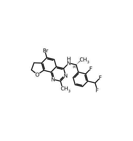 Cc1nc(N[C@H](C)c2cccc(C(F)F)c2F)c2cc(Br)c3c(c2n1)OCC3